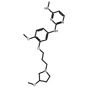 CNc1ccnc(Nc2ccc(OC)c(OCCCN3CCC(OC)C3)c2)n1